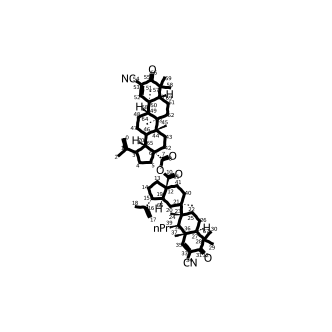 C=C(C)C1CC[C@]2(C(=O)OC(=O)[C@]34CC[C@@H](C(=C)C)[C@@H]3C[C@](C)([C@]3(C)CC[C@H]5C(C)(C)C(=O)C(C#N)=C[C@]5(C)[C@H]3CCC)CC4)CC[C@]3(C)C(CC[C@@H]4[C@@]5(C)C=C(C#N)C(=O)C(C)(C)[C@@H]5CC[C@]43C)[C@@H]12